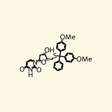 COc1ccc(C(SC[C@H]2O[C@@H](n3ccc(=O)[nH]c3=O)C[C@@H]2O)(c2ccccc2)c2ccc(OC)cc2)cc1